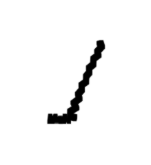 C=CCCCCCCCCCCCCCCCC(=C)NC